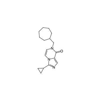 O=c1c2cnc(C3CC3)n2ccn1CC1CCCCCC1